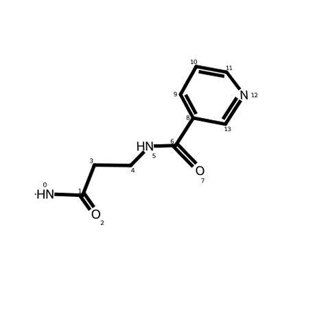 [NH]C(=O)CCNC(=O)c1cccnc1